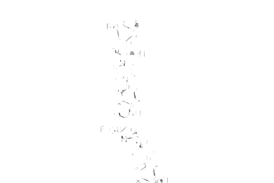 O=C(Nc1ccc(N2CCN(C(=O)C(O)c3cc(F)cc(F)c3)CC2)nc1)c1oc(N2CCC(c3cccc(Cl)c3)C2)nc1C(F)(F)F